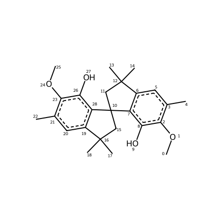 COc1c(C)cc2c(c1O)C1(CC2(C)C)CC(C)(C)c2cc(C)c(OC)c(O)c21